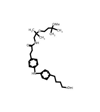 CCCCCCCCCCCCCCc1ccc(Nc2ccc(CCC(=O)NCC(C)(C)OCCC(C)(C)OC)cc2)cc1